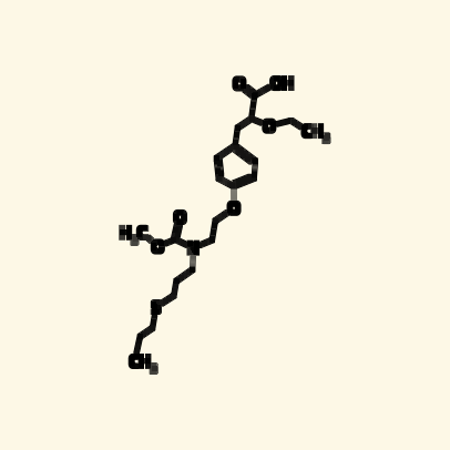 CCCSCCCN(CCOc1ccc(CC(OCC)C(=O)O)cc1)C(=O)OC